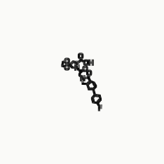 O=C(O)[C@@H]1CC2(CN1C(=O)CN1Cc3cc(-c4ccc(F)cc4)ccc3C1=O)OCCO2